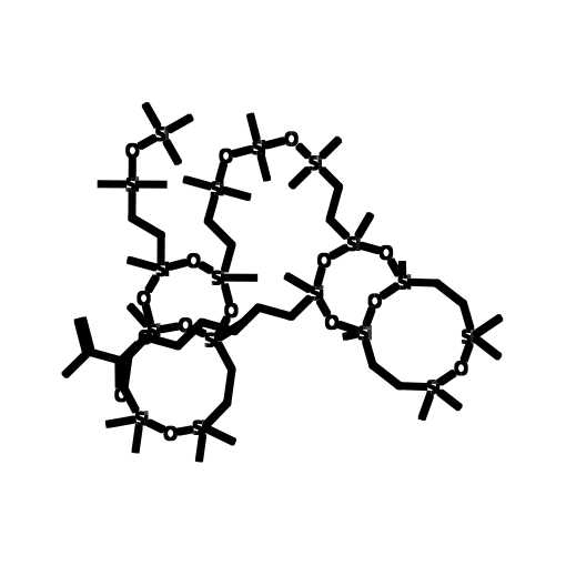 C=C(C)C(=O)OCCCCC[Si]1(C)O[Si]2(C)CC[Si](C)(C)O[Si](C)(C)CC[Si](C)(O2)O[Si](C)(CC[Si](C)(C)O[Si](C)(C)O[Si](C)(C)CC[Si]2(C)O[Si](C)(CC[Si](C)(C)O[Si](C)(C)C)O[Si]3(C)CC[Si](C)(C)O[Si](C)(C)CC[Si](C)(O3)O2)O1